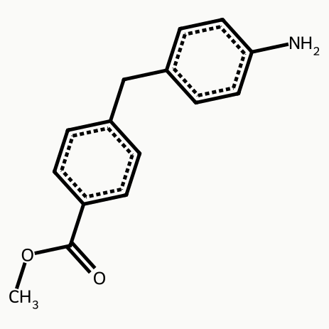 COC(=O)c1ccc(Cc2ccc(N)cc2)cc1